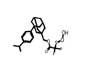 CC(C)c1ccc(C23CC4CC(CC(COC(=O)C(F)(F)SOO)(C4)C2)C3)cc1